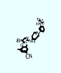 Cc1cc(C#N)cc(C)c1Oc1nc(NC2CCN(c3cccc(NS(C)(=O)=O)c3)CC2)ncc1Br